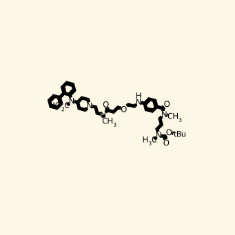 CN(CCN1CCC(N(C(=O)O)c2ccccc2-c2ccccc2)CC1)C(=O)CCOCCNc1ccc(C(=O)N(C)CCCN(C)C(=O)OC(C)(C)C)cc1